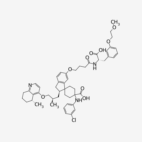 COCCOc1cccc(C[C@H](NC(=O)CCCOc2ccc3c(c2)C2(CCC(Nc4cccc(Cl)c4)(C(=O)O)CC2)[C@@H](C[C@@H](C)COc2ccnc4c2[C@H](C)CCC4)C3)C(=O)O)c1